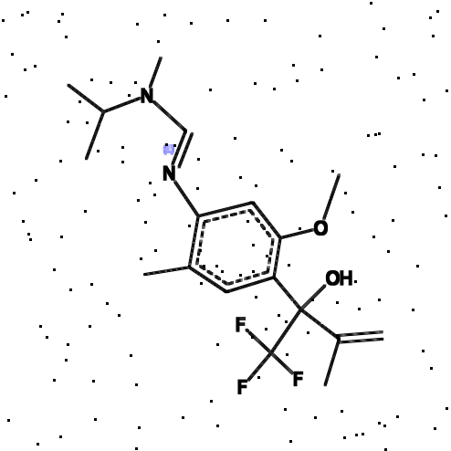 C=C(C)C(O)(c1cc(C)c(/N=C/N(C)C(C)C)cc1OC)C(F)(F)F